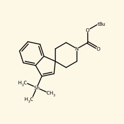 CC(C)(C)OC(=O)N1CCC2(C=[C]([Sn]([CH3])([CH3])[CH3])c3ccccc32)CC1